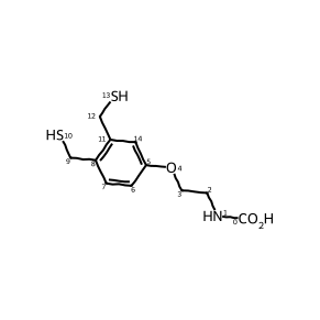 O=C(O)NCCOc1ccc(CS)c(CS)c1